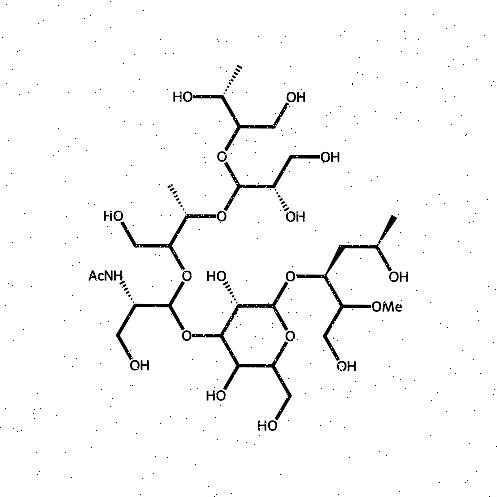 COC(CO)[C@H](C[C@@H](C)O)OC1OC(CO)C(O)C(OC(OC(CO)[C@H](C)OC(OC(CO)[C@@H](C)O)[C@@H](O)CO)[C@H](CO)NC(C)=O)[C@@H]1O